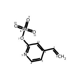 C=Cc1ccnc([O][Re](=[O])(=[O])=[O])c1